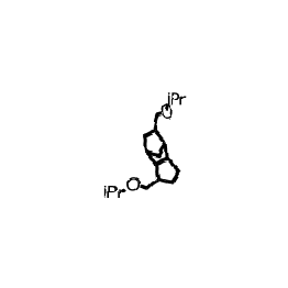 CC(C)OCC1CC2CC1C1CCC(COC(C)C)C21